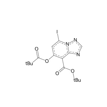 CC(C)(C)OC(=O)c1c(OC(=O)C(C)(C)C)cc(I)n2ncnc12